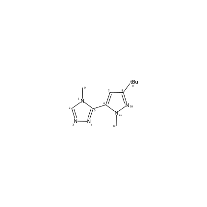 Cn1cnnc1-c1cc(C(C)(C)C)nn1C